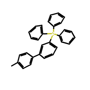 Cc1ccc(-c2cccc(S(c3ccccc3)(c3ccccc3)c3ccccc3)c2)cc1